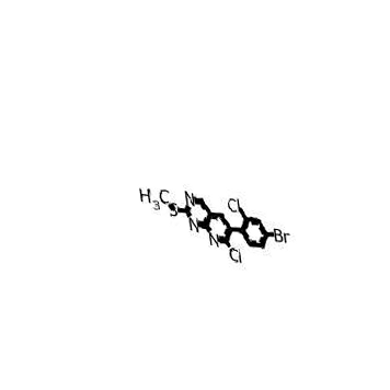 CSc1ncc2cc(-c3ccc(Br)cc3Cl)c(Cl)nc2n1